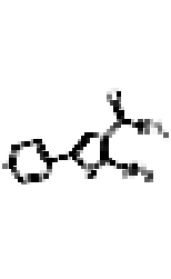 NC(=O)c1cc(-c2cc[c]cc2)sc1N